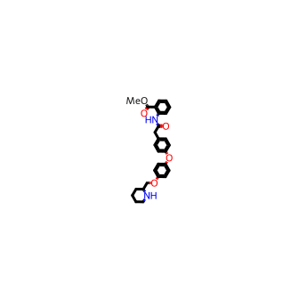 COC(=O)c1ccccc1NC(=O)Cc1ccc(Oc2ccc(OCC3CCCCN3)cc2)cc1